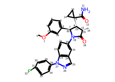 COc1cccc([C@H]2[C@H](C3(C(N)=O)CC3)[C@H](C)C(=O)N2c2ccc3c(cnn3-c3ccc(F)cc3)c2)c1